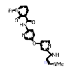 CN/C=C\C(=N)c1cc(Oc2ccc(NC(=O)c3cccn(C(C)C)c3=O)nc2)ccn1